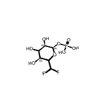 O=P(O)(O)O[C@H]1OC(C(F)F)[C@@H](O)C(O)[C@H]1O